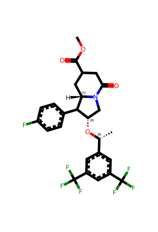 COC(=O)C1CC(=O)N2C[C@H](O[C@H](C)c3cc(C(F)(F)F)cc(C(F)(F)F)c3)C(c3ccc(F)cc3)[C@@H]2C1